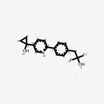 OC(F)(F)Cc1ccc(-c2ccc(C3(O)CC3)cn2)cc1